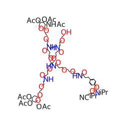 CC(=O)N[C@@H]1[C@@H](OCCOCCNC(=O)CCOCC(COCCC(=O)NCCOCCO)(COCCC(=O)NCCOCCO[C@H]2C[C@@H](OC(C)=O)[C@@H](OC(C)=O)[C@@H](COC(C)=O)O2)NC(=O)CCOCCOCCNC(=O)CCc2ccc(OP(OCCC#N)N(C(C)C)C(C)C)cc2)O[C@H](C)[C@@H](OC(C)=O)[C@H]1OC(C)=O